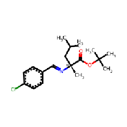 CC(C)C[C@@](C)(N=Cc1ccc(Cl)cc1)C(=O)OC(C)(C)C